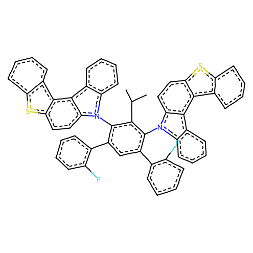 CC(C)c1c(-n2c3ccccc3c3c4c(ccc32)sc2ccccc24)c(-c2ccccc2F)cc(-c2ccccc2F)c1-n1c2ccccc2c2c3c(ccc21)sc1ccccc13